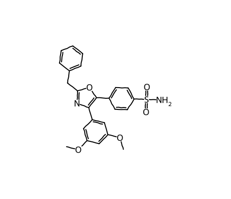 COc1cc(OC)cc(-c2nc(Cc3ccccc3)oc2-c2ccc(S(N)(=O)=O)cc2)c1